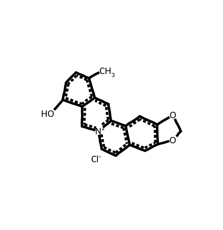 Cc1ccc(O)c2c[n+]3ccc4cc5c(cc4c3cc12)OCO5.[Cl-]